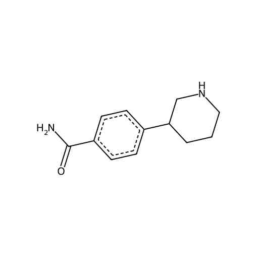 NC(=O)c1ccc(C2CCCNC2)cc1